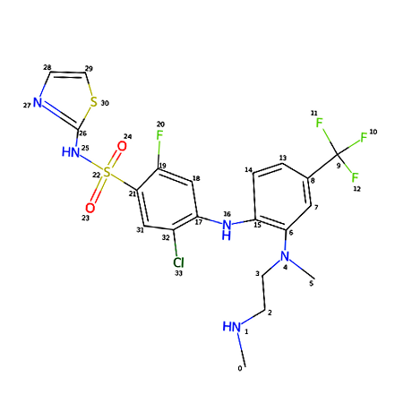 CNCCN(C)c1cc(C(F)(F)F)ccc1Nc1cc(F)c(S(=O)(=O)Nc2nccs2)cc1Cl